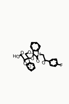 C=C(C(=O)O)[C@]1(c2ccccc2)CO[C@@]2(O1)C(=O)N(CC(=O)c1ccc(F)cc1)c1ccccc12